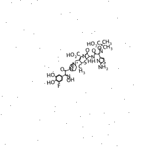 C[C@@H]1S[C@@H]2[C@H](NC(=O)/C(=N\OC(C)(C)C(=O)O)c3csc(N)n3)C(=O)N2C(C(=O)O)=C1C[N+]12CCC(CC1)N(C(=O)C(=NO)c1cc(O)c(O)c(F)c1)CC2